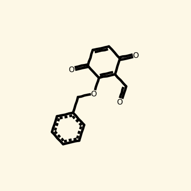 O=CC1=C(OCc2ccccc2)C(=O)C=CC1=O